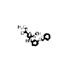 COC(=O)c1cc(Nc2cccc(OCc3ccccc3)c2)c(SC)s1